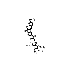 COc1ccc(/C=C2\C(=O)Nc3ccc(NC(=O)CO/N=C(/[C@@H](OC)C(C)C)[C@@H](O)[C@@H](C)O)cc32)cc1